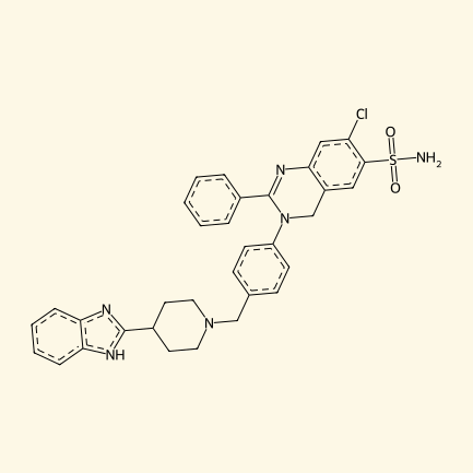 NS(=O)(=O)c1cc2c(cc1Cl)N=C(c1ccccc1)N(c1ccc(CN3CCC(c4nc5ccccc5[nH]4)CC3)cc1)C2